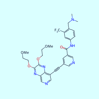 COCCOc1nc2cncc(C#Cc3cncc(C(=O)Nc4ccc(CN(C)C)c(C(F)(F)F)c4)c3)c2nc1OCCOC